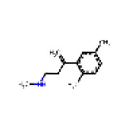 C=C(CCNC)c1cc(C)ccc1C